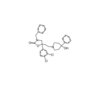 O=C1OC(CCN2CCC(O)(c3ccccc3)CC2)(c2ccc(Cl)c(Cl)c2)CN1Cc1ccccc1